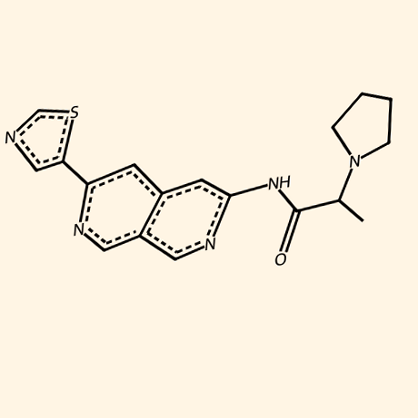 CC(C(=O)Nc1cc2cc(-c3cncs3)ncc2cn1)N1CCCC1